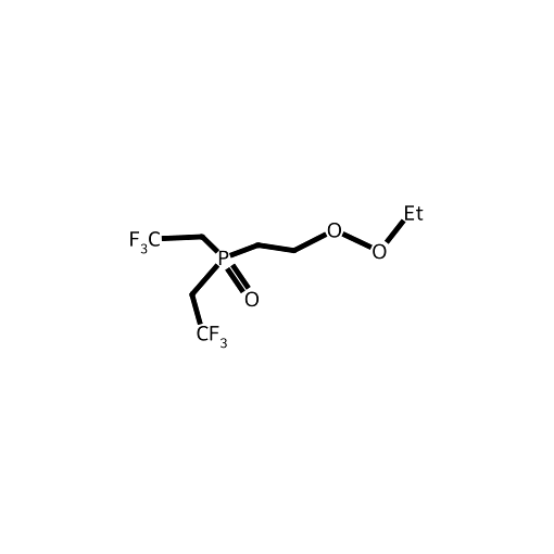 CCOOCCP(=O)(CC(F)(F)F)CC(F)(F)F